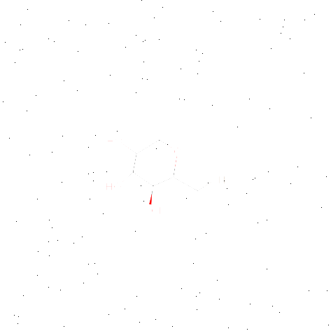 OC1C(O)[C@H](I)OC(CS)[C@H]1O